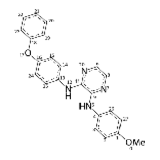 COc1ccc(Nc2nccnc2Nc2ccc(Oc3ccccc3)cc2)cc1